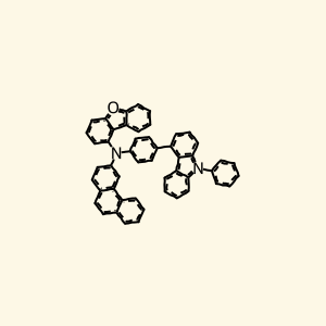 c1ccc(-n2c3ccccc3c3c(-c4ccc(N(c5ccc6ccc7ccccc7c6c5)c5cccc6oc7ccccc7c56)cc4)cccc32)cc1